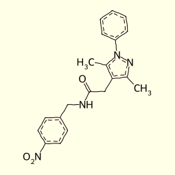 Cc1nn(-c2ccccc2)c(C)c1CC(=O)NCc1ccc([N+](=O)[O-])cc1